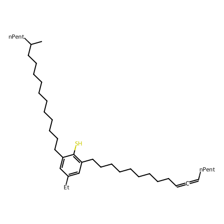 CCCCCC=C=CCCCCCCCCCc1cc(CC)cc(CCCCCCCCCCCC(C)CCCCC)c1S